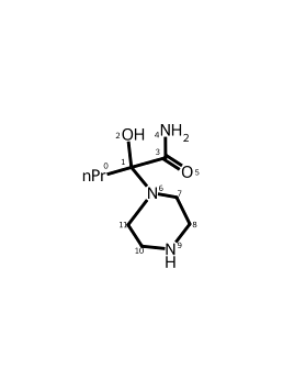 CCCC(O)(C(N)=O)N1CCNCC1